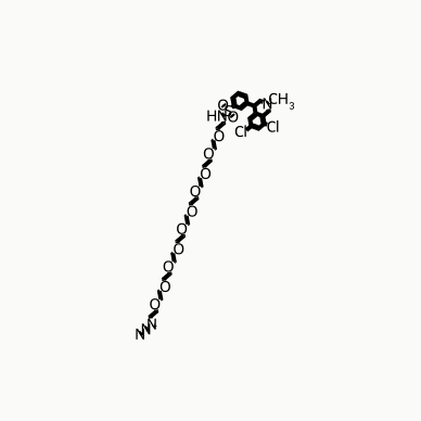 CN1Cc2c(Cl)cc(Cl)cc2C(c2cccc(S(=O)(=O)NCCOCCOCCOCCOCCOCCOCCOCCOCCOCCOCCN=[N+]=[N-])c2)C1